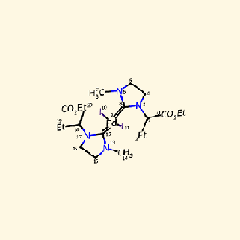 CCOC(=O)C(CC)N1CCN(C)[C]1=[Pd]([I])([I])=[C]1N(C)CCN1C(CC)C(=O)OCC